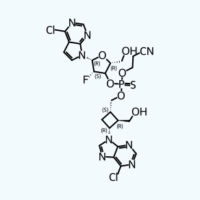 N#CCCOP(=S)(OC[C@H]1C[C@@H](n2cnc3c(Cl)ncnc32)[C@@H]1CO)OC1[C@@H](CO)O[C@@H](n2ccc3c(Cl)ncnc32)[C@H]1F